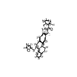 Cc1ncnc(C)c1C(=O)NCc1ccc(CN(Cc2cnco2)C2CCCc3cccnc32)cc1